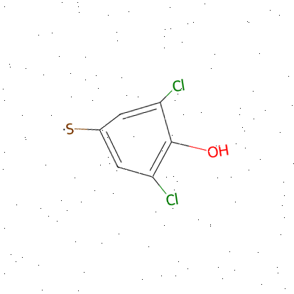 Oc1c(Cl)cc([S])cc1Cl